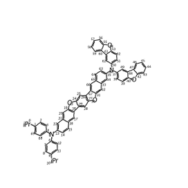 CC(C)c1ccc(N(c2ccc(C(C)C)cc2)c2ccc3cc4c(cc3c2)oc2cc3c(cc24)oc2cc4cc(N(c5ccc6oc7ccccc7c6c5)c5ccc6oc7ccccc7c6c5)ccc4cc23)cc1